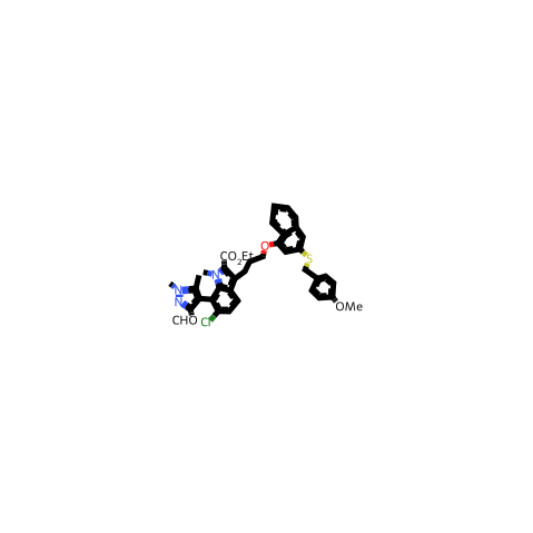 CCOC(=O)c1c(CCCOc2cc(SCc3ccc(OC)cc3)cc3ccccc23)c2ccc(Cl)c(-c3c(C=O)nn(C)c3C)c2n1C